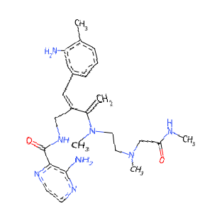 C=C(/C(=C\c1cccc(C)c1N)CNC(=O)c1nccnc1N)N(C)CCN(C)CC(=O)NC